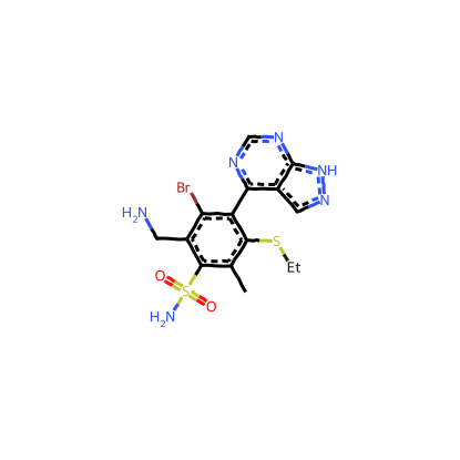 CCSc1c(C)c(S(N)(=O)=O)c(CN)c(Br)c1-c1ncnc2[nH]ncc12